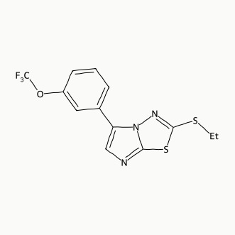 CCSc1nn2c(-c3cccc(OC(F)(F)F)c3)cnc2s1